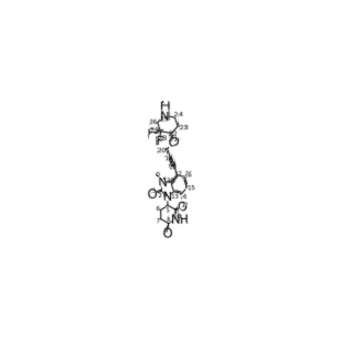 Cn1c(=O)n(C2CCC(=O)NC2=O)c2cccc(C#CCOC3CCNCC3(F)F)c21